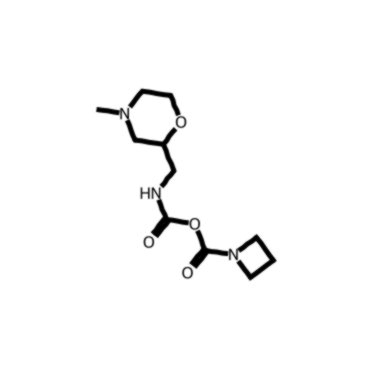 CN1CCOC(CNC(=O)OC(=O)N2CCC2)C1